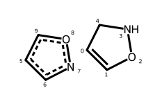 C1=CONC1.c1cnoc1